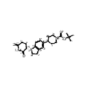 CC(C)(C)OC(=O)N1CCC(c2ccc3c(c2)CCN3[C@H]2CCC(=O)NC2=O)CC1